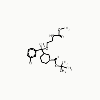 COC(=O)NCCO[C@@](C)(c1cccc(Cl)c1)C1CCCN(C(=O)OC(C)(C)C)C1